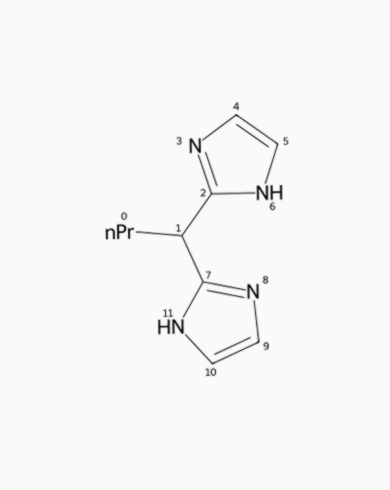 CCCC(c1ncc[nH]1)c1ncc[nH]1